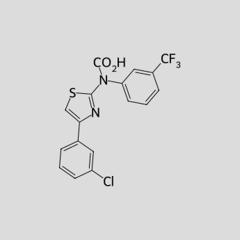 O=C(O)N(c1cccc(C(F)(F)F)c1)c1nc(-c2cccc(Cl)c2)cs1